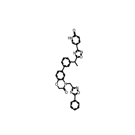 CC(c1cccc(-c2ccc3c(c2)N(Cc2noc(-c4ccccc4)n2)C(=O)CO3)c1)c1nc(-c2ccc(=O)[nH]c2)no1